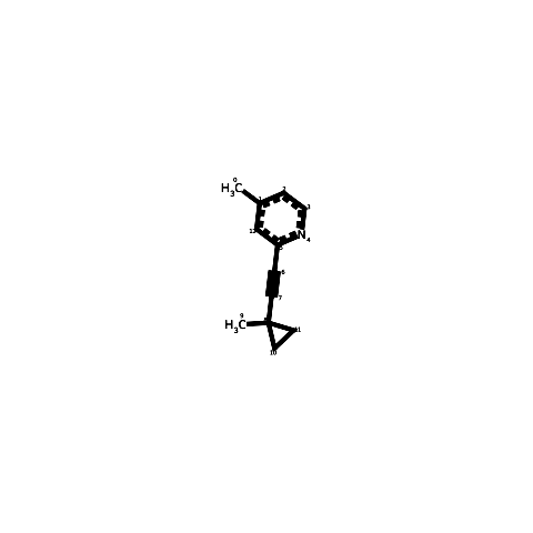 Cc1ccnc(C#CC2(C)CC2)c1